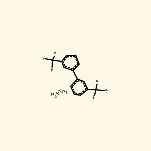 FC(F)(F)c1cccc(-c2cccc(C(F)(F)F)c2)c1.N.N